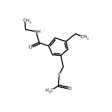 CCNC(=O)c1cc(CC)cc(CSC(C)=O)c1